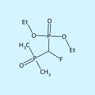 CCOP(=O)(OCC)C(F)P(C)(C)=O